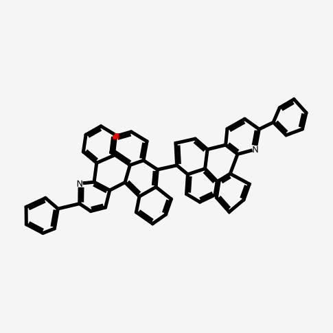 c1ccc(-c2ccc(-c3ccc(-c4c5ccccc5c(-c5ccc(-c6ccccc6)nc5-c5ccccc5)c5ccccc45)c4ccccc34)c(-c3ccccc3)n2)cc1